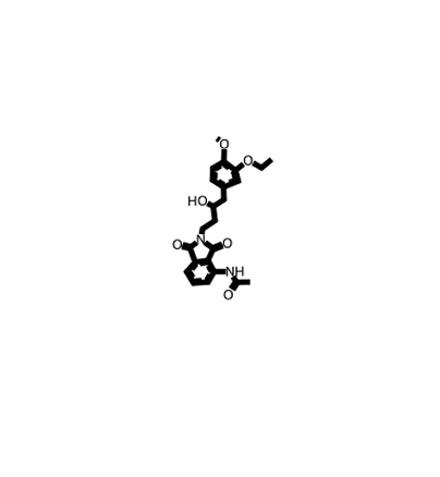 CCOc1cc(CC(O)CCN2C(=O)c3cccc(NC(C)=O)c3C2=O)ccc1OC